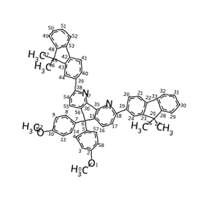 COc1ccc(C2(c3ccc(OC)cc3)c3ccc(-c4ccc5c(c4)C(C)(C)c4ccccc4-5)nc3-c3nc(-c4ccc5c(c4)C(C)(C)c4ccccc4-5)ccc32)cc1